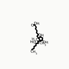 CCCCCC(O)C=C[C@]1(C)[C@@H](O)C[C@@H](O)[C@@]1(C)CCCCCCC(=O)O